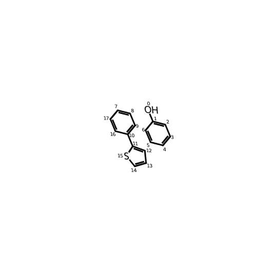 Oc1ccccc1.c1ccc(-c2cccs2)cc1